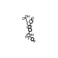 C=C(N[C@@H](c1ccc(F)cc1)C(F)(F)F)c1ccc2nc(C3=CC=C(Cl)CC3)c(CCCCC(=O)O)nc2c1